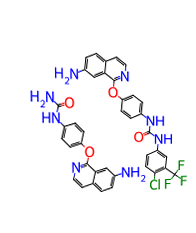 NC(=O)Nc1ccc(Oc2nccc3ccc(N)cc23)cc1.Nc1ccc2ccnc(Oc3ccc(NC(=O)Nc4ccc(Cl)c(C(F)(F)F)c4)cc3)c2c1